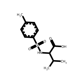 Cc1ccc(S(=O)(=O)NC(C(=O)O)C(C)C)cc1